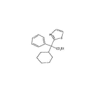 CCOC(=O)C(c1ccccc1)(c1nccs1)C1CCCCC1